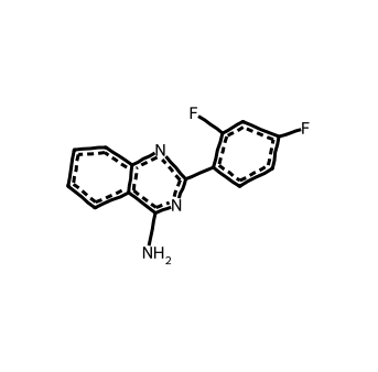 Nc1nc(-c2ccc(F)cc2F)nc2ccccc12